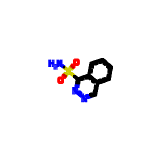 NS(=O)(=O)c1nncc2ccccc12